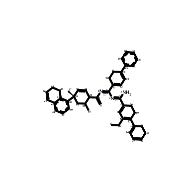 C=C(/N=C(\N=C(/N)C1=CC(CC)=C(C2=CC=CCC2)CC1)C1=CC=C(c2ccccc2)CC1)C1C=C[C@@](C)(c2cccc3c2CCC=C3)CC1C